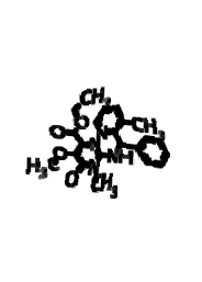 CCOC(=O)c1nc(NC(c2ccccc2)c2ncccc2C)n(C)c(=O)c1OC